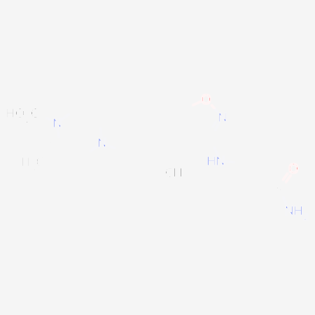 Cc1c(CN2CCN(C(=O)O)[C@@H](C)C2)ccc2onc(NCCC(N)=O)c12